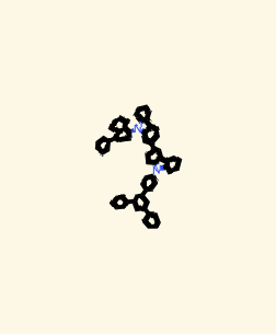 c1ccc(-c2cc(-c3ccccc3)cc(-c3ccc(-n4c5ccccc5c5cc(-c6ccc7c8ccccc8n(-c8ccc(-c9ccccc9)c9ccccc89)c7c6)ccc54)cc3)c2)cc1